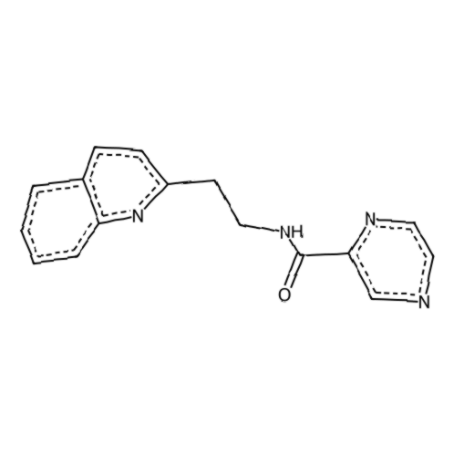 O=C(NCCc1ccc2ccccc2n1)c1cnccn1